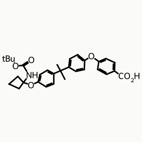 CC(C)(C)OC(=O)NC1(Oc2ccc(C(C)(C)c3ccc(Oc4ccc(C(=O)O)cc4)cc3)cc2)CCC1